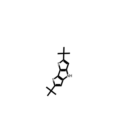 CC(C)(C)c1cc2[nH]c3cc(C(C)(C)C)sc3c2s1